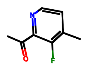 CC(=O)c1nccc(C)c1F